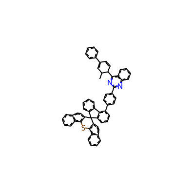 CC1C=C(c2ccccc2)C=CC1c1nc(-c2ccc(-c3cccc4c3-c3ccccc3C43c4ccc5ccccc5c4Sc4c3ccc3ccccc43)cc2)nc2ccccc12